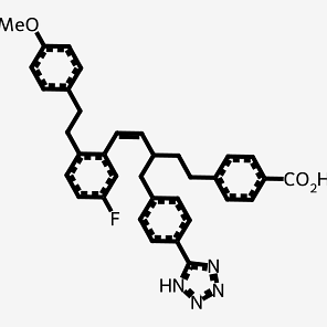 COc1ccc(CCc2ccc(F)cc2/C=C\C(CCc2ccc(C(=O)O)cc2)Cc2ccc(-c3nnn[nH]3)cc2)cc1